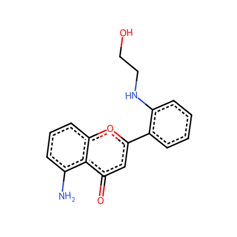 Nc1cccc2oc(-c3ccccc3NCCO)cc(=O)c12